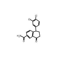 NC(=O)c1ccc2c(c1)C(=O)CCC2c1ccc(Cl)c(Cl)c1